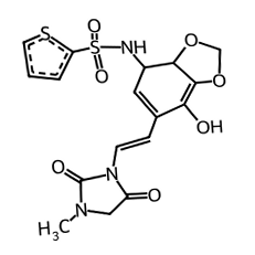 CN1CC(=O)N(/C=C/C2=CC(NS(=O)(=O)c3cccs3)C3OCOC3=C2O)C1=O